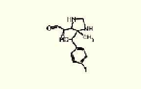 CC1(C(O)c2ccc(I)cc2)NCNC1C(=O)C=O